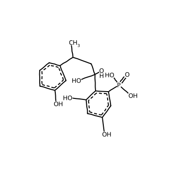 CC(CC(O)(O)c1c(O)cc(O)cc1P(=O)(O)O)c1cccc(O)c1